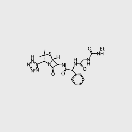 CCNC(=O)NCC(=O)NC(C(=O)NC1C(=O)N2C(c3nnn[nH]3)C(C)(C)S[C@H]12)c1ccccc1